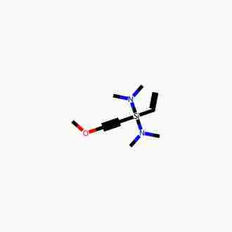 C=C[Si](C#COC)(N(C)C)N(C)C